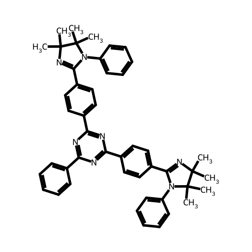 CC1(C)N=C(c2ccc(-c3nc(-c4ccccc4)nc(-c4ccc(C5=NC(C)(C)C(C)(C)N5c5ccccc5)cc4)n3)cc2)N(c2ccccc2)C1(C)C